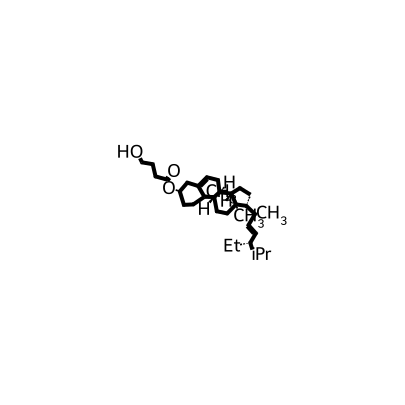 CC[C@H](/C=C/[C@@H](C)[C@H]1CC[C@H]2[C@@H]3CC=C4C[C@@H](OC(=O)CCCO)CC[C@]4(C)[C@H]3CC[C@]12C)C(C)C